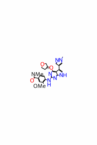 CNC(=O)c1ccc(Nc2nc(O[C@H]3CCOC3)c3c(-c4cnn(C)c4)c[nH]c3n2)c(OC)c1